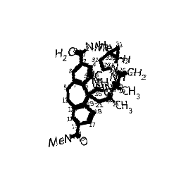 C=C(NC)c1ccc2c(c1)CCc1cc(C(=O)NC)ccc1C2(C[C@H](C)NCC(=C)N1C(C#N)C[C@@H]2C[C@@H]21)C(=N)OC(C)=N